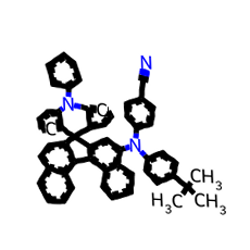 CC(C)(C)c1ccc(N(c2ccc(C#N)cc2)c2cc3c(c4ccccc24)-c2c(ccc4ccccc24)C32c3ccccc3N(c3ccccc3)c3ccccc32)cc1